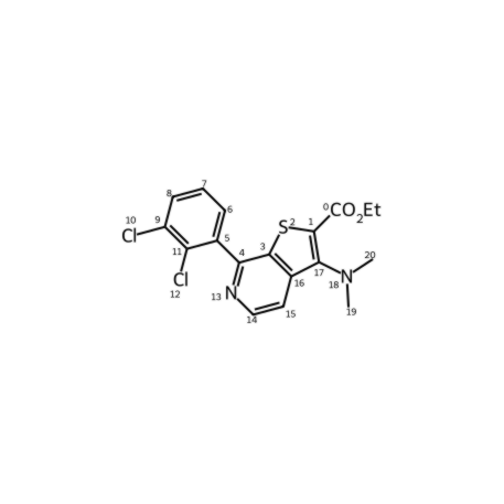 CCOC(=O)c1sc2c(-c3cccc(Cl)c3Cl)nccc2c1N(C)C